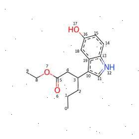 CCCC(CC(=O)OCC)c1c[nH]c2ccc(O)cc12